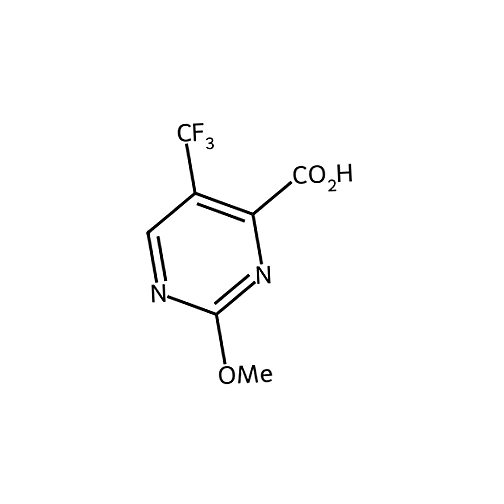 COc1ncc(C(F)(F)F)c(C(=O)O)n1